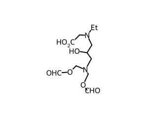 CCN(CC(=O)O)CC(O)CN(COC=O)COC=O